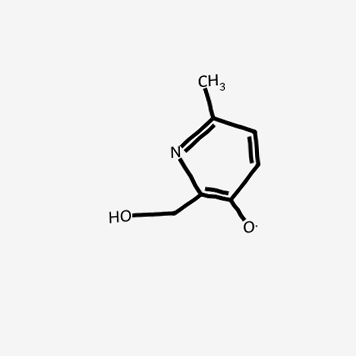 Cc1ccc([O])c(CO)n1